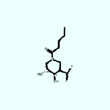 CCCCC(=O)N1CC(C(F)F)[C@@H](O)[C@H](O)C1